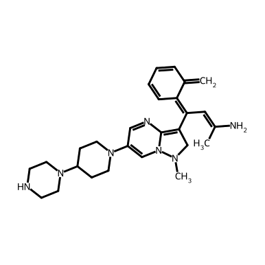 C=c1cccc/c1=C(/C=C(\C)N)C1=C2N=CC(N3CCC(N4CCNCC4)CC3)=CN2N(C)C1